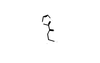 N[C@@H](CC(=O)c1nccs1)C(=O)O